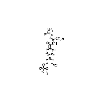 CS(=O)(=O)OCCN(CCCl)c1ccc(C(=O)N[C@@H](CCC(N)=O)C(=O)O)cc1